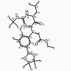 CCOC(=O)C[C@H](NC(=O)[C@H](CC(C)C)NC(=O)OC(C)(C)C)c1cc(B2OC(C)(C)C(C)(C)O2)cc(C)c1F